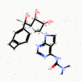 CN(C)C(=O)Nc1ncnc2c1ccn2[C@@H]1C[C@H]([C@](C)(O)c2ccc3c(c2)CC3)[C@@H](O)[C@H]1O